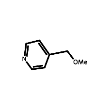 COCc1ccncc1